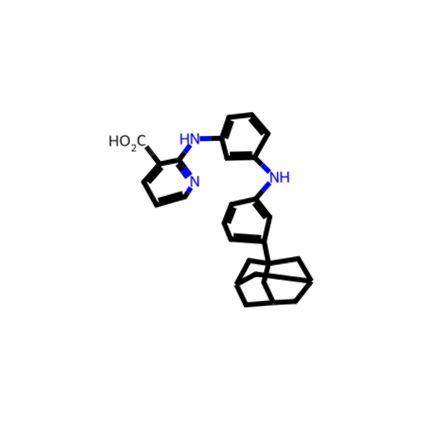 O=C(O)c1cccnc1Nc1cccc(Nc2cccc(C34CC5CC(CC(C5)C3)C4)c2)c1